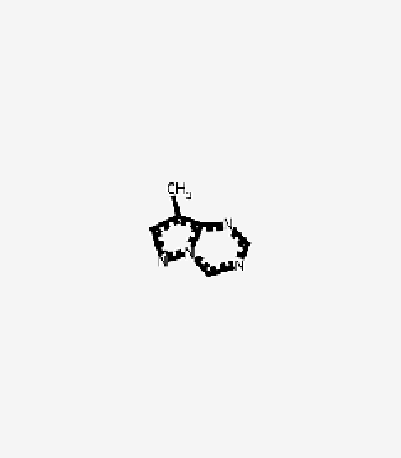 Cc1cnn2cncnc12